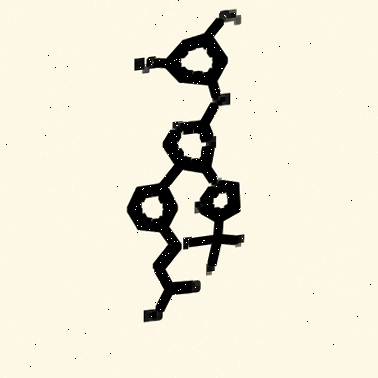 Cc1cc(C)cc(Nc2ncc(-c3cccc(C=CC(=O)O)c3)c(-n3ccc(C(F)(F)F)n3)n2)c1